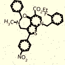 CCOC(=O)c1cn(Cc2ccccc2F)c2sc(-c3ccc([N+](=O)[O-])cc3)c(CN(C)Cc3ccccc3)c2c1=O